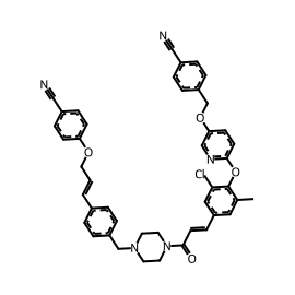 Cc1cc(C=CC(=O)N2CCN(Cc3ccc(C=CCOc4ccc(C#N)cc4)cc3)CC2)cc(Cl)c1Oc1ccc(OCc2ccc(C#N)cc2)cn1